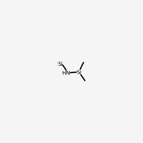 C[Si](C)N[Si]